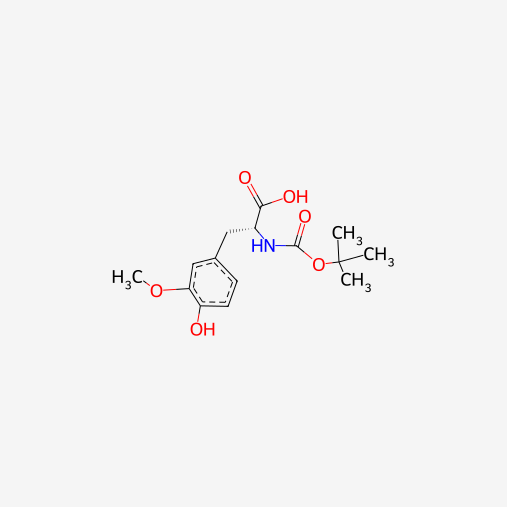 COc1cc(C[C@@H](NC(=O)OC(C)(C)C)C(=O)O)ccc1O